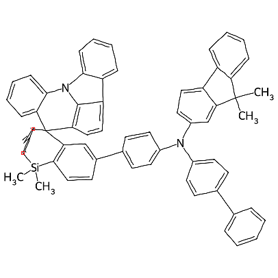 CC1(C)c2ccccc2-c2ccc(N(c3ccc(-c4ccccc4)cc3)c3ccc(-c4ccc5c(c4)C4(c6ccccc6-n6c7ccccc7c7cccc4c76)c4ccccc4[Si]5(C)C)cc3)cc21